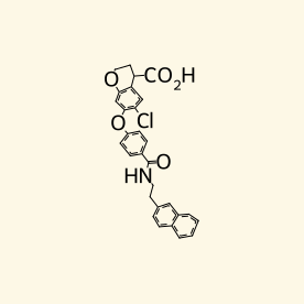 O=C(NCCc1ccc2ccccc2c1)c1ccc(Oc2cc3c(cc2Cl)C(C(=O)O)CCO3)cc1